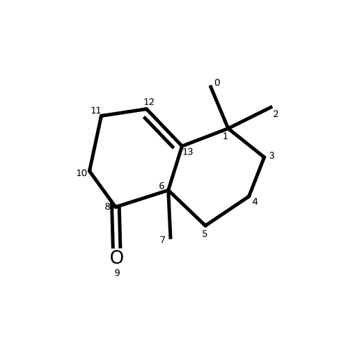 CC1(C)CCCC2(C)C(=O)CCC=C12